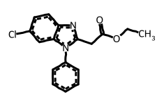 CCOC(=O)Cc1nc2ccc(Cl)cc2n1-c1ccccc1